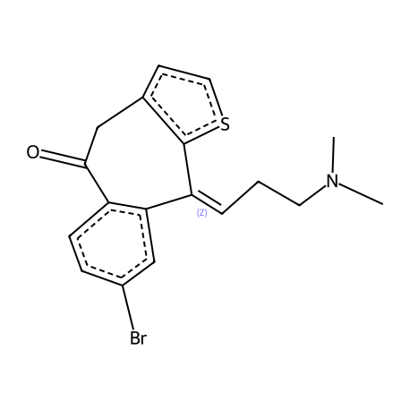 CN(C)CC/C=C1/c2cc(Br)ccc2C(=O)Cc2ccsc21